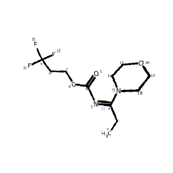 CC/C(=N/C(=O)OCCC(F)(F)F)N1CCOCC1